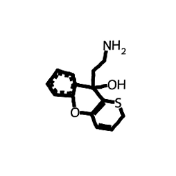 NCCC1(O)C2=C(C=CCS2)Oc2ccccc21